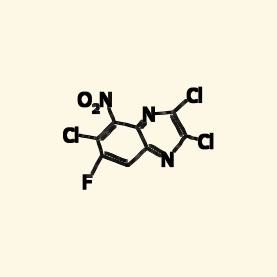 O=[N+]([O-])c1c(Cl)c(F)cc2nc(Cl)c(Cl)nc12